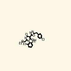 CCOCc1nc(=O)c(-c2nnc(Cc3ccc(Cl)cc3)o2)c(O)n1-c1c(CC)cccc1CC